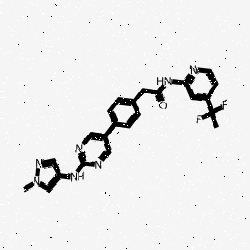 Cn1cc(Nc2ncc(-c3ccc(CC(=O)Nc4cc(C(C)(F)F)ccn4)cc3)cn2)cn1